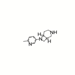 Cc1ccc(N2C[C@@H]3CNCC[C@@H]32)cn1